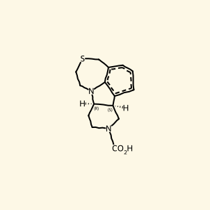 O=C(O)N1CC[C@@H]2[C@H](C1)c1cccc3c1N2CCSC3